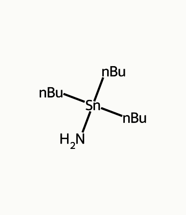 CCC[CH2][Sn]([NH2])([CH2]CCC)[CH2]CCC